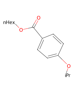 [CH2]CCCCCOC(=O)c1ccc(OC(C)C)cc1